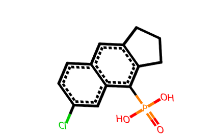 O=P(O)(O)c1c2c(cc3ccc(Cl)cc13)CCC2